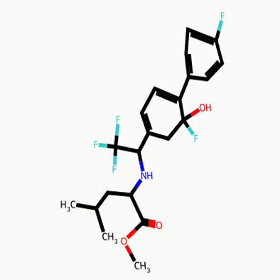 COC(=O)C(CC(C)C)NC(C1=CC=C(c2ccc(F)cc2)C(O)(F)C1)C(F)(F)F